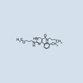 CCCCNC(=O)C1=C(c2cccc(C)c2)N=C(NCCCOC)NC1